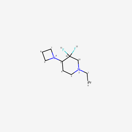 CC(C)CN1CCC(N2CCC2)C(F)(F)C1